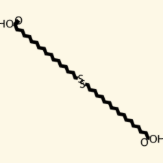 O=C(O)CCCCCCCCCCCCCCCCCSSCCCCCCCCCCCCCCCCCC(=O)O